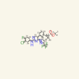 CC(C)(C)OC(=O)[C@H]1[C@H](c2cccc(-c3cnc(Nc4ccc(F)c(Cl)c4)nc3-n3ccc(C(F)(F)F)n3)c2)C1(C)C